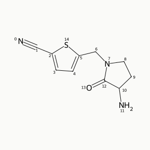 N#Cc1ccc(CN2CCC(N)C2=O)s1